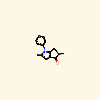 Cc1cc2c(n1-c1ccccc1)CC(C)C2=O